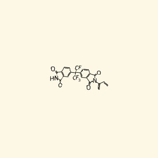 C=CC(=C)N1C(=O)c2ccc(C(c3ccc4c(c3)C(=O)NC4=O)(C(F)(F)F)C(F)(F)F)cc2C1=O